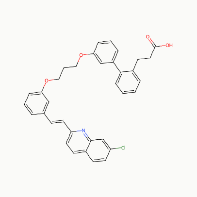 O=C(O)CCc1ccccc1-c1cccc(OCCCOc2cccc(/C=C/c3ccc4ccc(Cl)cc4n3)c2)c1